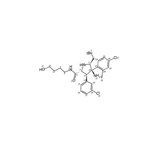 CC(C)(C)C[C@@H]1N[C@@H](C(=O)NCCCCO)[C@H](c2cccc(Cl)c2)[C@@]1(N)c1ccc(Cl)cc1F